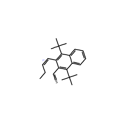 CC/C=C\c1c(C=S)c(C(C)(C)C)c2ccccc2c1C(C)(C)C